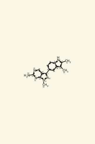 Cc1[nH]c2ccc(-c3nn(C)c4nc(N)ncc34)cc2c1C